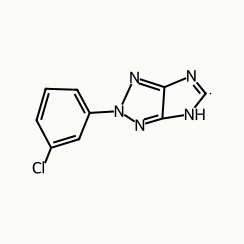 Clc1cccc(-n2nc3n[c][nH]c3n2)c1